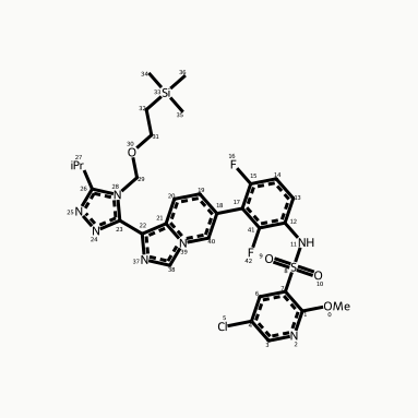 COc1ncc(Cl)cc1S(=O)(=O)Nc1ccc(F)c(-c2ccc3c(-c4nnc(C(C)C)n4COCC[Si](C)(C)C)ncn3c2)c1F